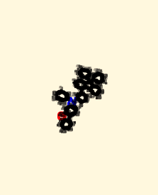 c1ccc(N(c2cccc(-c3cccc4c3-c3ccccc3C4(c3ccccc3)c3ccccc3)c2)c2ccc3c(c2)oc2ccccc23)cc1